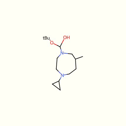 CC1CCN(C2CC2)CCN(C(O)OC(C)(C)C)C1